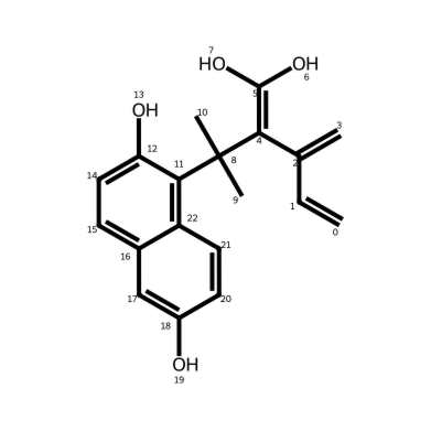 C=CC(=C)C(=C(O)O)C(C)(C)c1c(O)ccc2cc(O)ccc12